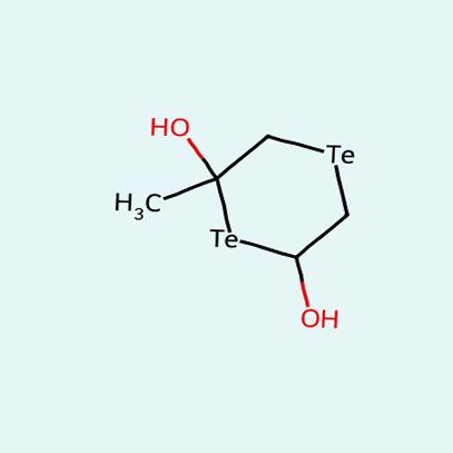 CC1(O)C[Te]CC(O)[Te]1